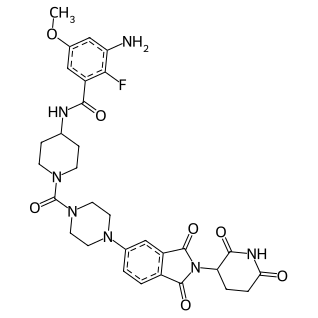 COc1cc(N)c(F)c(C(=O)NC2CCN(C(=O)N3CCN(c4ccc5c(c4)C(=O)N(C4CCC(=O)NC4=O)C5=O)CC3)CC2)c1